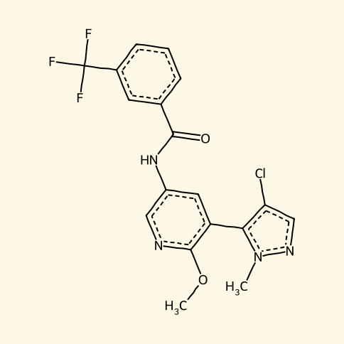 COc1ncc(NC(=O)c2cccc(C(F)(F)F)c2)cc1-c1c(Cl)cnn1C